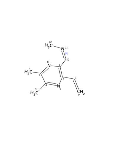 C=Cc1nc(C)c(C)nc1/C=N\C